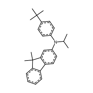 CC(C)N(c1ccc(C(C)(C)C)cc1)c1ccc2c(c1)C(C)(C)c1ccccc1-2